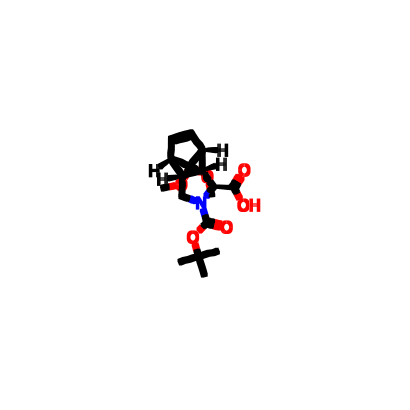 COC1(OC)[C@@H]2C=C[C@H]1[C@H]1CN(C(=O)OC(C)(C)C)[C@H](C(=O)O)[C@H]12